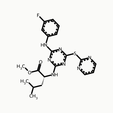 COC(=O)[C@@H](CC(C)C)Nc1nc(Nc2cccc(F)c2)nc(Sc2ncccn2)n1